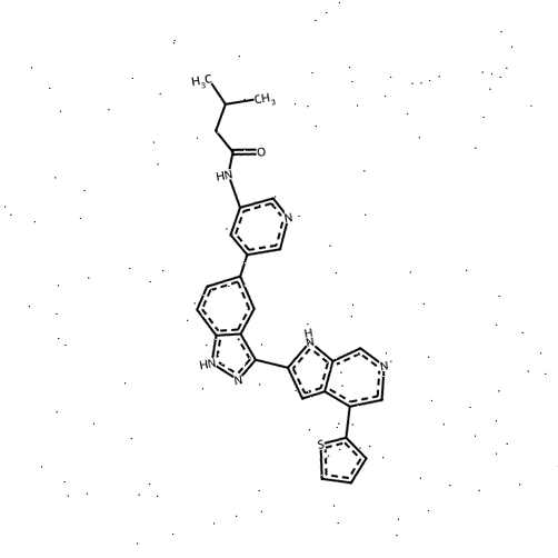 CC(C)CC(=O)Nc1cncc(-c2ccc3[nH]nc(-c4cc5c(-c6cccs6)cncc5[nH]4)c3c2)c1